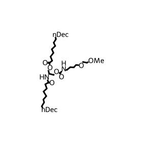 CCCCCCCCCCCCCCCCCC(=O)NC(COC(=O)CCCCCCCCCCCCCCCCC)COC(=O)NCCCCOCCOC